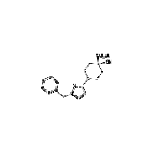 CCOC(=O)C1(C#N)CCN(c2ccn(Cc3ccccc3)n2)CC1